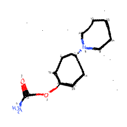 NC(=O)O[C@H]1CC[C@H](N2CCCCC2)CC1